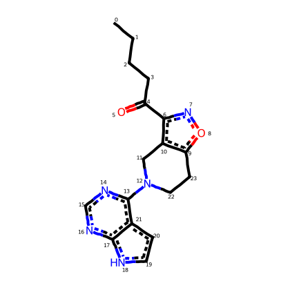 CCCCC(=O)c1noc2c1CN(c1ncnc3[nH]ccc13)CC2